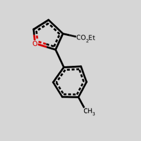 CCOC(=O)c1ccoc1-c1ccc(C)cc1